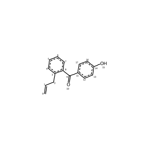 C=CCc1ccccc1C(=O)c1ccc(O)cc1